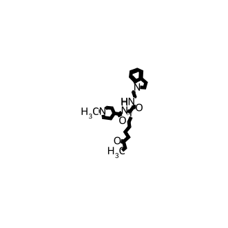 CCC(=O)CCCCC[C@H](NC(=O)C1CCN(C)CC1)C(=O)NCCN1CCc2ccccc21